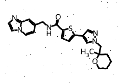 CC1(Cn2cc(-c3ccc(C(=O)NCc4ccn5ccnc5c4)s3)cn2)CCCCO1